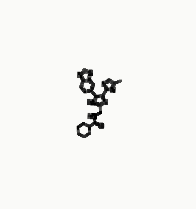 Cc1csc(-c2nc(CNC(=O)C3CCCCC3)[nH]c2-c2ccc3ncsc3c2)n1